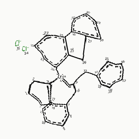 C1=CC[C]([Zr+2](=[C](Cc2ccccc2)Cc2ccccc2)[c]2cccc3c2Cc2ccccc2-3)=C1.[Cl-].[Cl-]